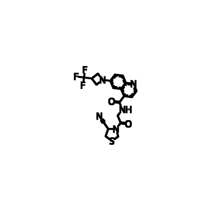 N#CC1CSCN1C(=O)CNC(=O)c1ccnc2ccc(N3CC(C(F)(F)F)C3)cc12